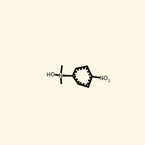 C[N+](C)(O)c1ccc([N+](=O)[O-])cc1